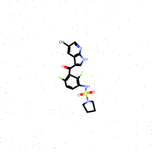 [C-]#[N+]c1cnc2[nH]cc(C(=O)c3c(F)ccc(NS(=O)(=O)N4CCCC4)c3F)c2c1